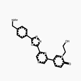 CNCc1ccc(-c2nnc(-c3cncc(-c4ccc(=O)n(CCO)c4)n3)o2)cc1